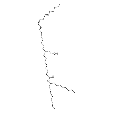 CCCCC/C=C/C/C=C\C=C\CCCCCCN(CCO)CCCCCCCC(=O)OC(CCCCCCCC)CCCCCCCC